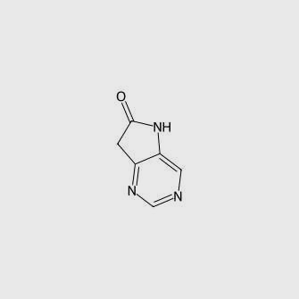 O=C1Cc2ncncc2N1